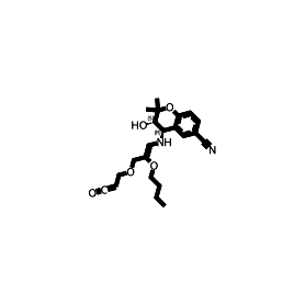 CCCCOC(=CN[C@@H]1c2cc(C#N)ccc2OC(C)(C)[C@H]1O)COCC=C=O